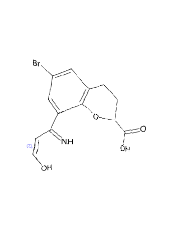 N=C(/C=C\O)c1cc(Br)cc2c1OC(C(=O)O)CC2